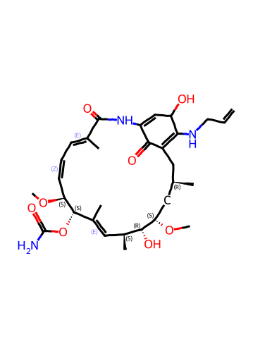 C=CCNC1=C2C[C@@H](C)C[C@H](OC)[C@H](O)[C@@H](C)/C=C(\C)[C@H](OC(N)=O)[C@@H](OC)/C=C\C=C(/C)C(=O)NC(=CC1O)C2=O